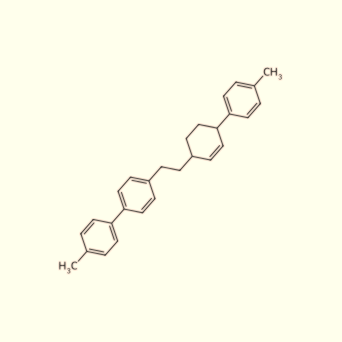 Cc1ccc(-c2ccc(CCC3C=CC(c4ccc(C)cc4)CC3)cc2)cc1